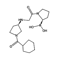 O=C(C1CCCCC1)N1CC[C@@H](NCC(=O)N2CCC[C@H]2B(O)O)C1